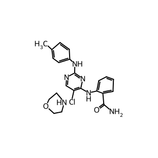 C1COCCN1.Cc1ccc(Nc2ncc(Cl)c(Nc3ccccc3C(N)=O)n2)cc1